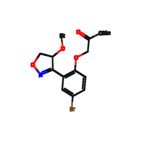 CCOC1CON=C1c1cc(Br)ccc1OCC(=O)OC